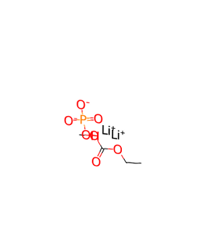 CCOC(=O)OC.O=P([O-])([O-])O.[Li+].[Li+]